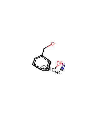 C#N.O=[C]O.[O]Cc1ccccc1